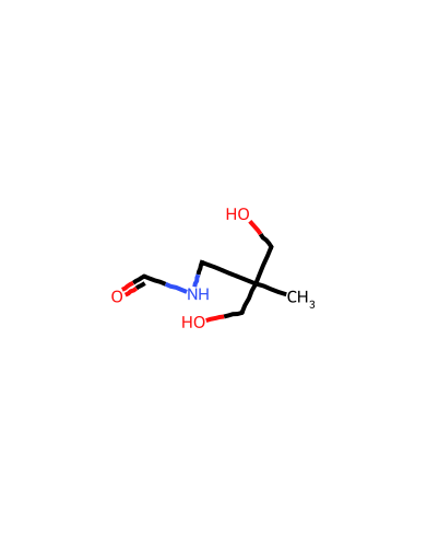 CC(CO)(CO)CNC=O